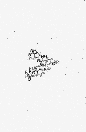 CCOc1cc(C(Nc2ccc3c(N)nccc3c2)C(=O)NCc2ccccc2S(=O)(=O)CC)ccc1OC(C)C.O=C(O)C(F)(F)F